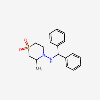 CC1CS(=O)(=O)CCN1NC(c1ccccc1)c1ccccc1